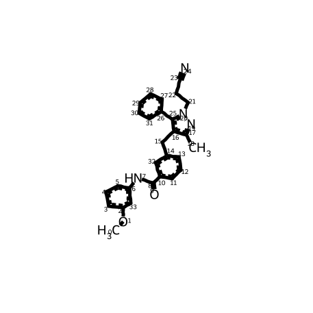 COc1cccc(NC(=O)c2cccc(Cc3c(C)nn(CCC#N)c3-c3ccccc3)c2)c1